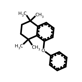 CC1(C)CCC(C)(C)c2c(Oc3ccccc3)cccc21